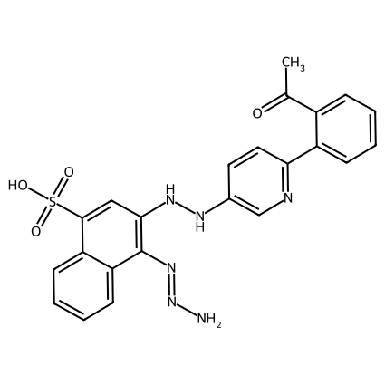 CC(=O)c1ccccc1-c1ccc(NNc2cc(S(=O)(=O)O)c3ccccc3c2N=NN)cn1